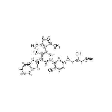 CNC[C@@H](O)COc1ccc(Cl)c(-c2nc(-c3c(C)noc3C)c(C)c(N3Cc4ccncc4C3)n2)c1